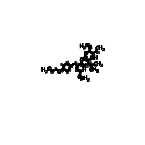 BOC=N[C@@H](Cc1ccc(OCC=C)cc1)C(=O)N[C@H](C(=O)N[C@@H](C=C)C(=O)OC)C(C)C